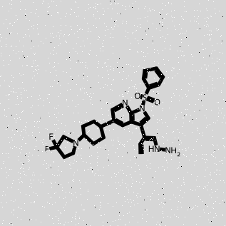 C=C/C(=C\NN)c1cn(S(=O)(=O)c2ccccc2)c2ncc(C3CCC(N4CCC(F)(F)C4)CC3)cc12